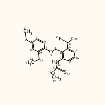 CCc1ccc(OCc2c(NC(=S)OC)cccc2C(F)F)c(CC)c1